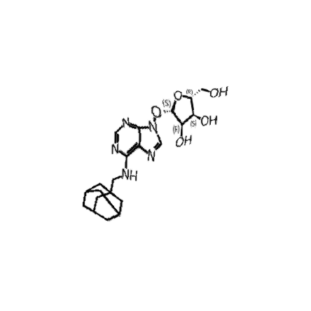 OC[C@H]1O[C@@H](On2cnc3c(NCC45CC6CC(CC(C6)C4)C5)ncnc32)[C@H](O)[C@@H]1O